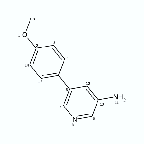 COc1ccc(-c2cncc(N)c2)cc1